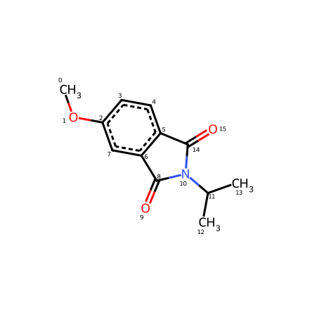 COc1ccc2c(c1)C(=O)N(C(C)C)C2=O